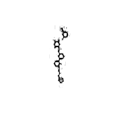 Cc1c(COc2cc(OCc3cncc(S(C)(=O)=O)c3)c(C=O)cc2Cl)cccc1-c1cccc(OCCCN2CCC(O)C2)c1C